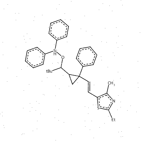 CCc1nc(C)c(C=CC2(c3ccccc3)CC2C(O[SiH](c2ccccc2)c2ccccc2)C(C)(C)C)s1